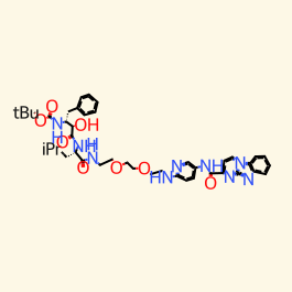 CC(C)C[C@H](NC(=O)[C@@H](O)[C@@H](Cc1ccccc1)NC(=O)OC(C)(C)C)C(=O)NCCOCCOCCNc1ccc(NC(=O)c2ccn3c(n2)nc2ccccc23)cn1